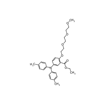 CCOC(=O)c1cc(N(c2ccc(C)cc2)c2ccc(C)cc2)ccc1OCCOCCOCCOC